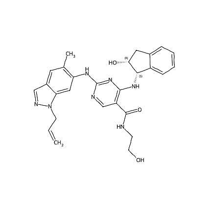 C=CCn1ncc2cc(C)c(Nc3ncc(C(=O)NCCO)c(N[C@H]4c5ccccc5C[C@H]4O)n3)cc21